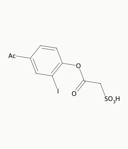 CC(=O)c1ccc(OC(=O)CS(=O)(=O)O)c(I)c1